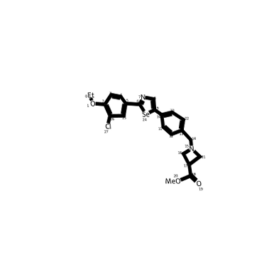 CCOc1ccc(-c2ncc(-c3ccc(CN4CC(C(=O)OC)C4)cc3)[se]2)cc1Cl